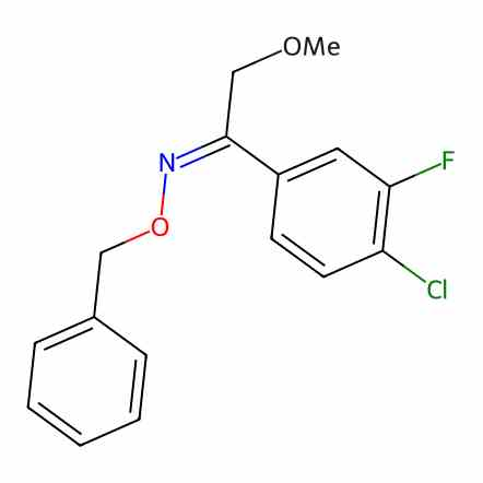 COCC(=NOCc1ccccc1)c1ccc(Cl)c(F)c1